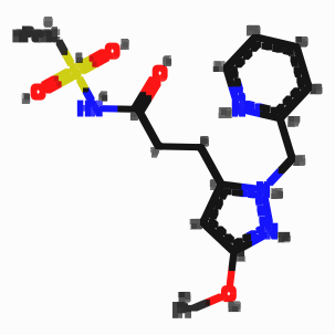 CCCCCS(=O)(=O)NC(=O)CCc1cc(OC(C)C)nn1Cc1ccccn1